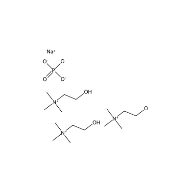 C[N+](C)(C)CCO.C[N+](C)(C)CCO.C[N+](C)(C)CC[O-].O=P([O-])([O-])[O-].[Na+]